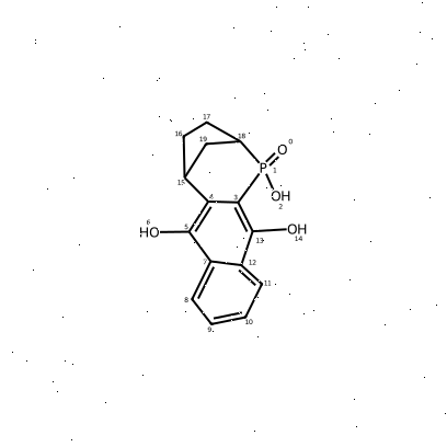 O=P1(O)c2c(c(O)c3ccccc3c2O)C2CCC1C2